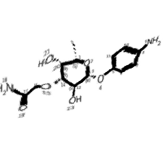 C[C@@H]1O[C@H](Oc2ccc(N)cc2)[C@@H](O)[C@H](OCC(N)=O)[C@@H]1O